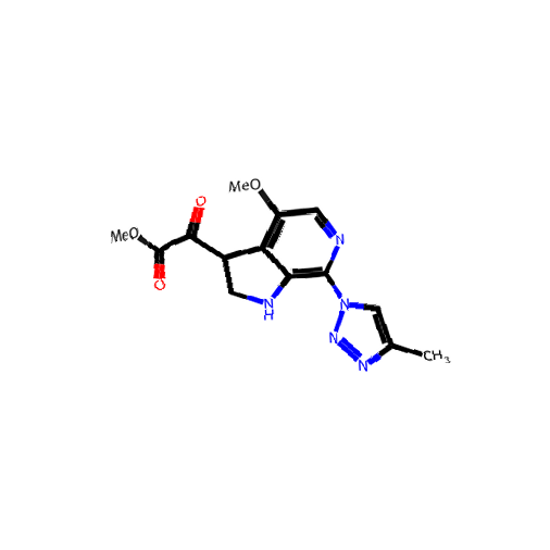 COC(=O)C(=O)C1CNc2c(-n3cc(C)nn3)ncc(OC)c21